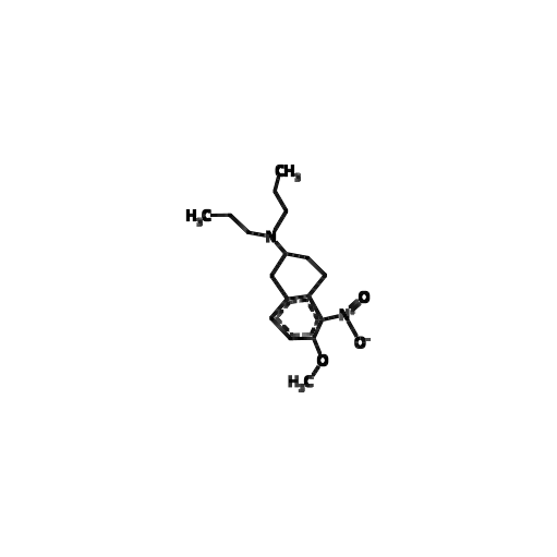 CCCN(CCC)C1CCc2c(ccc(OC)c2[N+](=O)[O-])C1